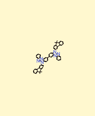 CC1(C)c2ccccc2-c2cc(-n3c4ccc(-c5ccc6c(c5)n5c7ccccc7nc5n6-c5ccc6c(c5)-c5ccccc5C6(C)C)cc4n4c5ccccc5nc34)ccc21